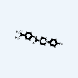 CC(C)c1ccc(NC(=O)N2CCN(c3ccc(F)cc3)CC2)cc1